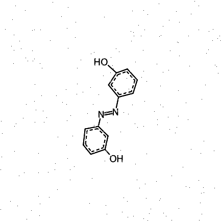 Oc1cccc(N=Nc2cccc(O)c2)c1